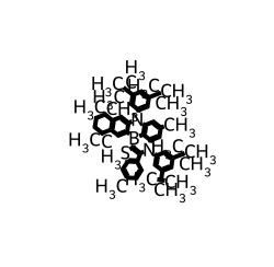 Cc1cc2c3c(c1)N(c1cc(C(C)(C)C)cc(C(C)(C)C)c1)c1c(sc4cc(C)ccc14)B3c1cc3c(cc1N2c1cc(C(C)(C)C)cc(C(C)(C)C)c1)C(C)(C)CCC3(C)C